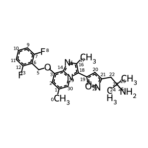 Cc1cc(OCc2c(F)cccc2F)c2nc(C)c(-c3cc(CC(C)(C)N)no3)n2c1